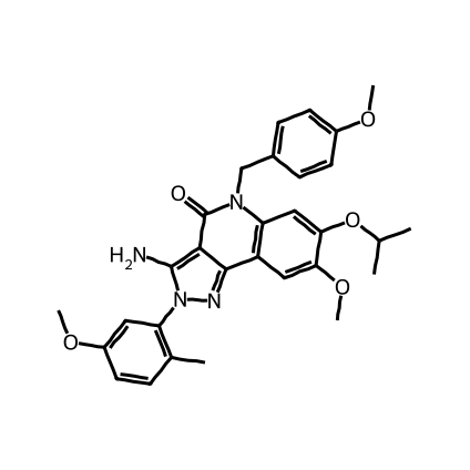 COc1ccc(Cn2c(=O)c3c(N)n(-c4cc(OC)ccc4C)nc3c3cc(OC)c(OC(C)C)cc32)cc1